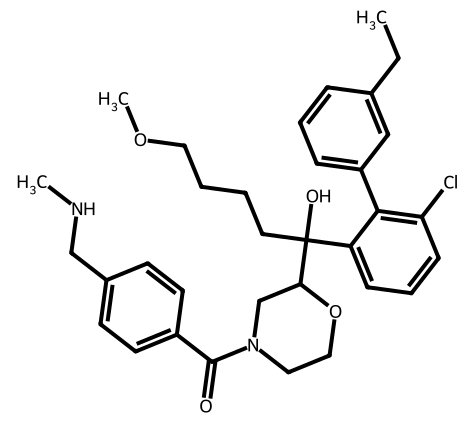 CCc1cccc(-c2c(Cl)cccc2C(O)(CCCCOC)C2CN(C(=O)c3ccc(CNC)cc3)CCO2)c1